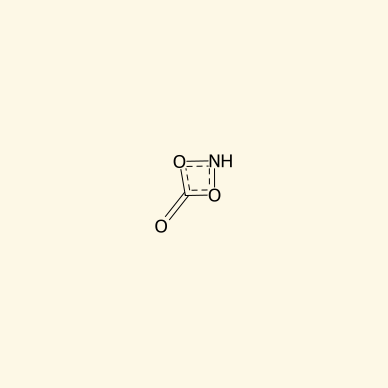 O=c1o[nH]o1